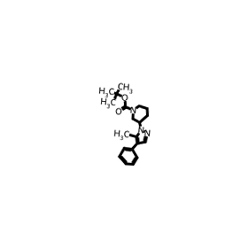 Cc1c(-c2ccccc2)cnn1C1CCCN(C(=O)OC(C)(C)C)C1